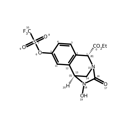 CCOC(=O)[C@H]1c2ccc(OS(=O)(=O)C(F)(F)F)cc2[C@H]2CN1C(=O)N2O